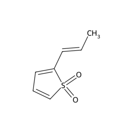 CC=CC1=CC=CS1(=O)=O